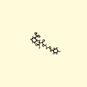 CC(=O)/C(=C\c1ccccc1[N+](=O)[O-])C(=O)OCCOCc1ccccc1